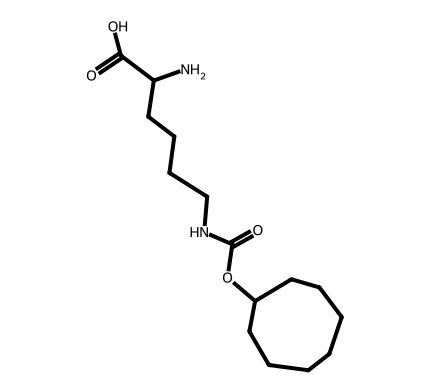 NC(CCCCNC(=O)OC1CCCCCCC1)C(=O)O